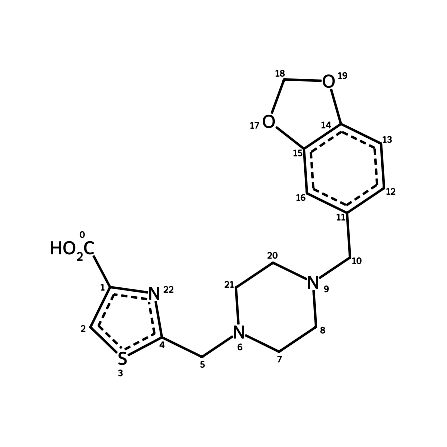 O=C(O)c1csc(CN2CCN(Cc3ccc4c(c3)OCO4)CC2)n1